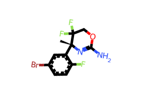 C[C@]1(c2cc(Br)ccc2F)N=C(N)OCC1(F)F